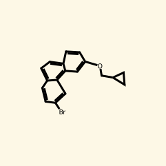 Brc1ccc2ccc3ccc(OCC4CC4)cc3c2c1